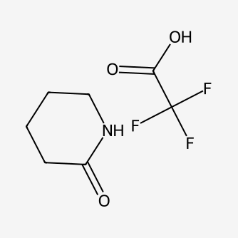 O=C(O)C(F)(F)F.O=C1CCCCN1